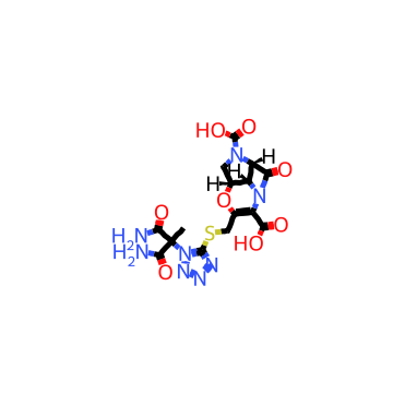 CC(C(N)=O)(C(N)=O)n1nnnc1SCC1=C(C(=O)O)N2C(=O)[C@@H]3[C@H]2[C@@H](CN3C(=O)O)O1